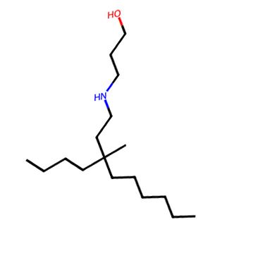 CCCCCCC(C)(CCCC)CCNCCCO